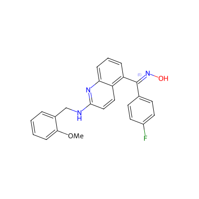 COc1ccccc1CNc1ccc2c(/C(=N/O)c3ccc(F)cc3)cccc2n1